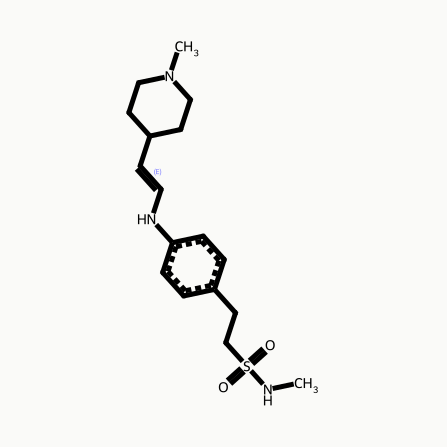 CNS(=O)(=O)CCc1ccc(N/C=C/C2CCN(C)CC2)cc1